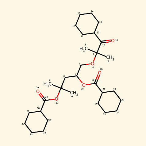 CC(C)(CC(COC(C)(C)C(=O)C1CCCCC1)OC(=O)C1CCCCC1)OC(=O)C1CCCCC1